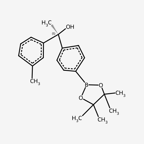 Cc1cccc([C@@](C)(O)c2ccc(B3OC(C)(C)C(C)(C)O3)cc2)c1